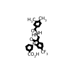 Cc1ccc(C(=O)NNC=C2C(=O)N(c3cccc(C(=O)O)c3)c3cc(C(F)(F)F)ccc32)cc1C